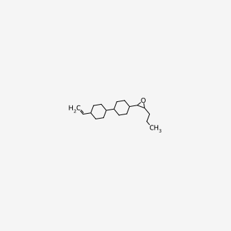 C=CC1CCC(C2CCC(C3OC3CCC)CC2)CC1